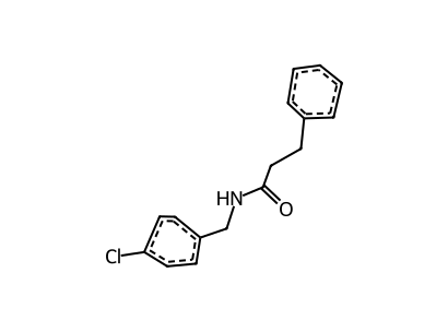 O=C(CCc1ccccc1)NCc1ccc(Cl)cc1